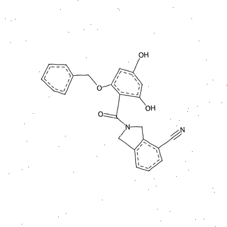 N#Cc1cccc2c1CN(C(=O)c1c(O)cc(O)cc1OCc1ccccc1)C2